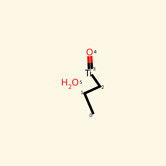 CC[CH2][Ti]=[O].O